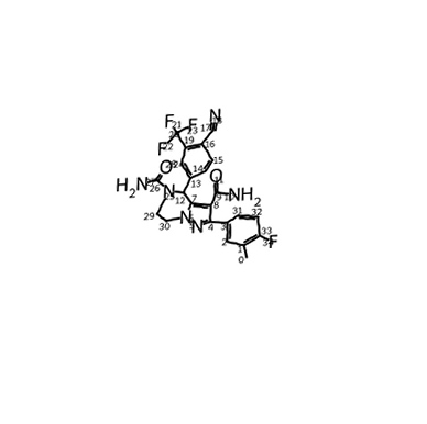 Cc1cc(-c2nn3c(c2C(N)=O)C(c2ccc(C#N)c(C(F)(F)F)c2)N(C(N)=O)CC3)ccc1F